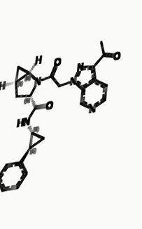 CC(=O)c1nn(CC(=O)N2[C@@H]3C[C@@H]3C[C@H]2C(=O)N[C@@H]2C[C@H]2c2ccccc2)c2cnccc12